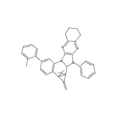 C=C1C2(C)c3ccc(-c4ccccc4C)cc3N3c4nc5c(nc4N(c4ccccc4)C3C12C)CCCC5